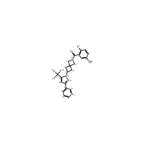 O=C(c1cc(O)ccc1F)N1CC2(CC(n3nc(-c4cccnc4)cc3C(F)(F)F)C2)C1